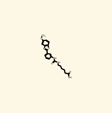 COc1ccc2oc(-c3cccc(NC(=O)NCCCCCC(=O)O)c3)nc2c1